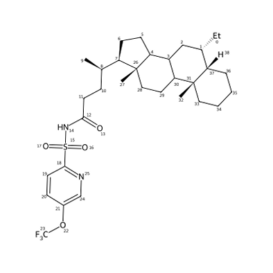 CC[C@H]1CC2C3CC[C@H]([C@H](C)CCC(=O)NS(=O)(=O)c4ccc(OC(F)(F)F)cn4)[C@@]3(C)CCC2[C@@]2(C)CCCC[C@@H]12